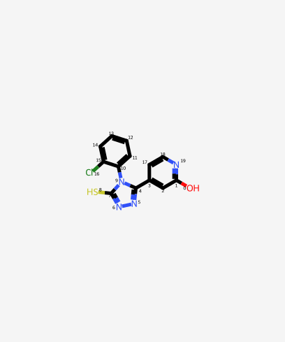 Oc1cc(-c2nnc(S)n2-c2ccccc2Cl)ccn1